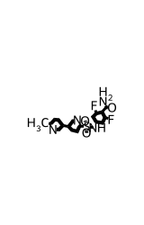 Cc1ccc(-c2ccc(S(=O)(=O)Nc3cc(F)c(C(N)=O)c(F)c3)nc2)cn1